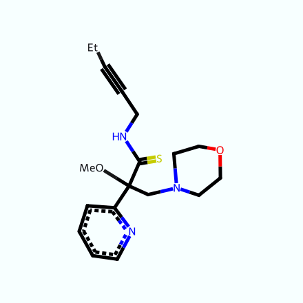 CCC#CCNC(=S)C(CN1CCOCC1)(OC)c1ccccn1